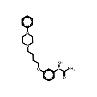 NC(=O)N(S)c1cccc(OCCCCN2CCN(c3ccccc3)CC2)c1